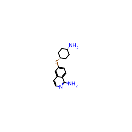 Nc1nccc2cc(S[C@H]3CC[C@@H](N)CC3)ccc12